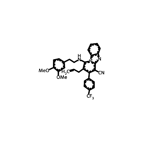 C=CCc1c(-c2ccc(C(F)(F)F)cc2)c(C#N)c2nc3ccccc3n2c1NCCc1ccc(OC)c(OC)c1